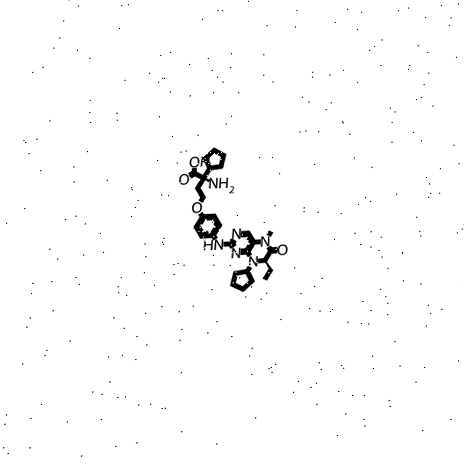 CC[C@@H]1C(=O)N(C)c2cnc(Nc3ccc(OCC[C@](N)(C(=O)O)C4CCCC4)cc3)nc2N1C1CCCC1